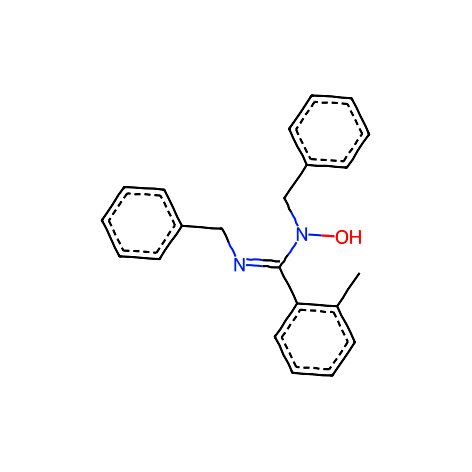 Cc1ccccc1C(=NCc1ccccc1)N(O)Cc1ccccc1